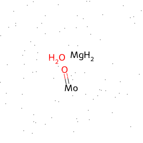 O.[MgH2].[O]=[Mo]